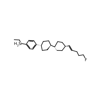 CC[SiH2]c1ccc([C@H]2CC[C@H]([C@H]3CC[C@H](C=CCCCF)CC3)CC2)cc1